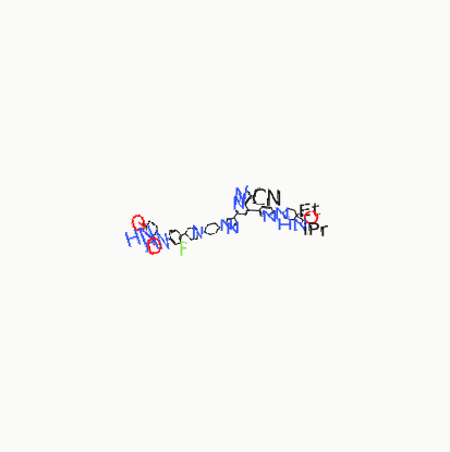 CCC1(C(=O)NC(C)C)CCN(c2ccc(-c3cc(-c4cnn([C@H]5CC[C@H](N6CCC(c7ccc(NC8CCC(=O)NC8=O)cc7F)CC6)CC5)c4)cn4ncc(C#N)c34)cn2)CC1